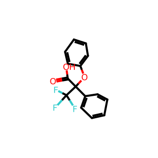 O=C(O)C(Oc1ccccc1)(c1ccccc1)C(F)(F)F